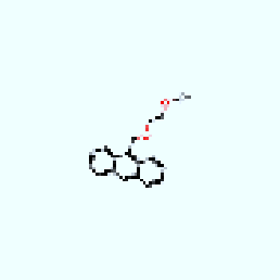 CC(C)OCCOCc1c2ccccc2cc2ccccc12